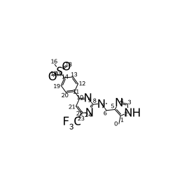 Cc1[nH]cnc1C[N]c1nc(-c2ccc(S(C)(=O)=O)cc2)cc(C(F)(F)F)n1